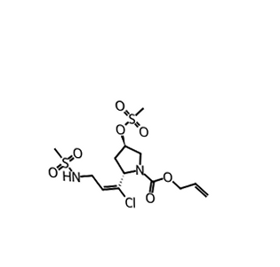 C=CCOC(=O)N1C[C@H](OS(C)(=O)=O)C[C@H]1/C(Cl)=C\CNS(C)(=O)=O